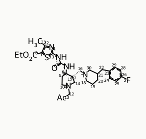 CCOC(=O)c1sc(NC(=O)N[C@@H]2CCN(CC(C)=O)C[C@H]2CN2CCCC(Cc3ccc(F)cc3)C2)nc1C